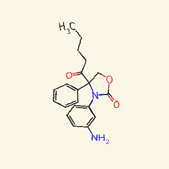 CCCCC(=O)C1(c2ccccc2)COC(=O)N1c1cccc(N)c1